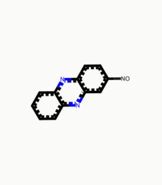 O=Nc1ccc2nc3ccccc3nc2c1